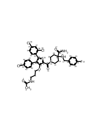 CC(=O)NCCCOc1c(C(=O)N2CCC(NCc3ccc(F)cc3)(C(N)=O)CC2)sc(-c2ccc(Cl)cc2Cl)c1-c1ccc(Cl)cc1